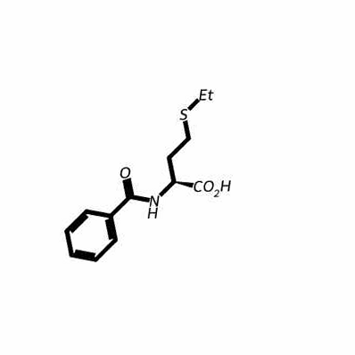 CCSCC[C@H](NC(=O)c1ccccc1)C(=O)O